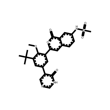 COc1c(-c2cc3ccc(NS(C)(=O)=O)cc3c(=O)o2)cc(-c2cnc[nH]c2=O)cc1C(C)(C)C